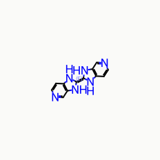 c1cc2c(cn1)N/C(=C1\Nc3ccncc3N1)N2